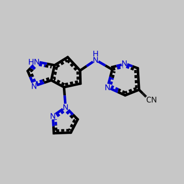 N#Cc1cnc(Nc2cc(-n3cccn3)c3nc[nH]c3c2)nc1